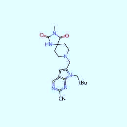 CN1C(=O)NC2(CCN(Cc3cc4cnc(C#N)nc4n3CC(C)(C)C)CC2)C1=O